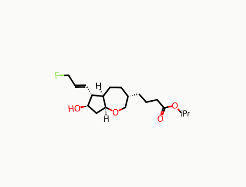 CC(C)OC(=O)CCC[C@H]1CC[C@@H]2[C@@H](/C=C/CF)[C@H](O)C[C@@H]2OC1